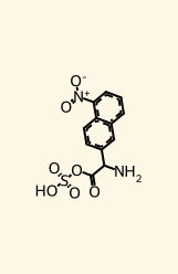 NC(C(=O)OS(=O)(=O)O)c1ccc2c([N+](=O)[O-])cccc2c1